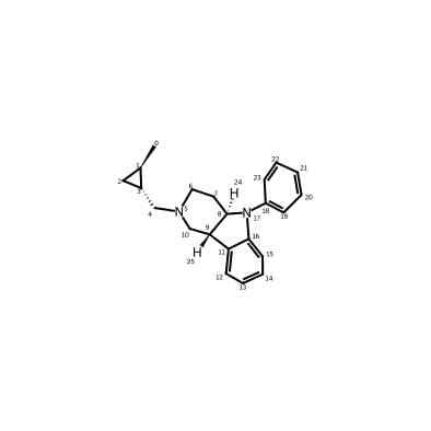 C[C@@H]1C[C@H]1CN1CC[C@@H]2[C@@H](C1)c1ccccc1N2c1ccccc1